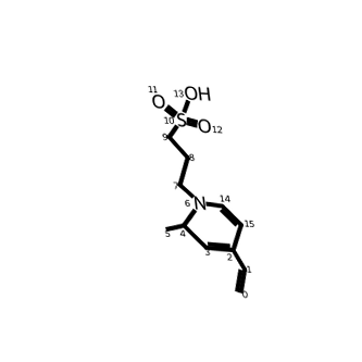 C=CC1=CC(C)N(CCCS(=O)(=O)O)C=C1